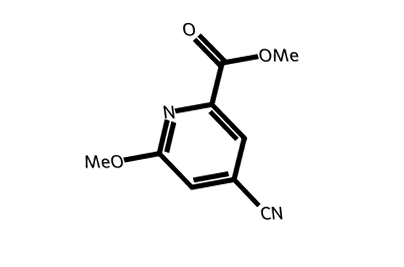 COC(=O)c1cc(C#N)cc(OC)n1